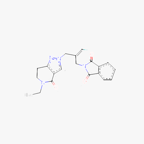 CC(C)(C)CN1CCc2nn(C/C(=C/F)CN3C(=O)c4ccccc4C3=O)cc2C1=O